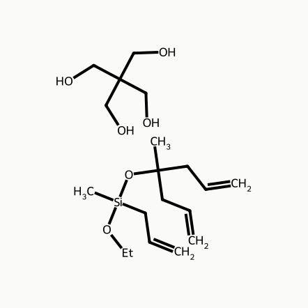 C=CCC(C)(CC=C)O[Si](C)(CC=C)OCC.OCC(CO)(CO)CO